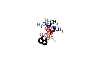 CNC(=O)[C@@H](NC(=O)C(CC(C)C)C(C)P(=O)(O)CN1C(=O)c2cccc3cccc(c23)C1=O)C(C)(C)C